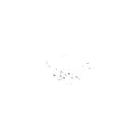 CCCCC[C@]12CCC(O)([SeH])CC1=CC[C@@H]1[C@@H]2CC[C@]2(C)[C@@H]([C@H](C)CCCC(C)C)CC[C@@H]12